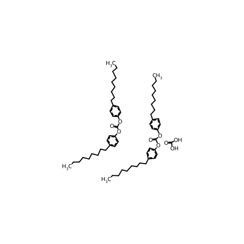 CCCCCCCCCc1ccc(OC(=O)Oc2ccc(CCCCCCCCC)cc2)cc1.CCCCCCCCCc1ccc(OC(=O)Oc2ccc(CCCCCCCCC)cc2)cc1.O=C(O)O